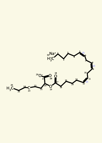 CCCCC/C=C\C/C=C\C/C=C\CCCCC(=O)OC(CCCCCC)C(=O)[O-].[Na+]